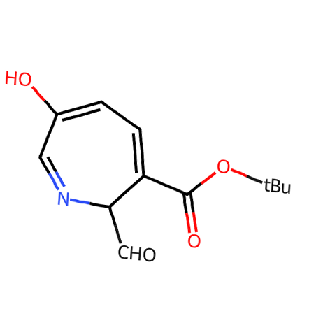 CC(C)(C)OC(=O)C1=CC=C(O)C=NC1C=O